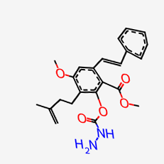 C=C(C)CCc1c(OC)cc(/C=C/c2ccccc2)c(C(=O)OC)c1OC(=O)NN